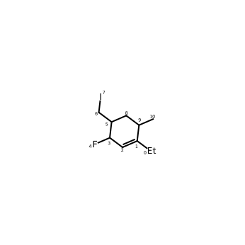 CCC1=CC(F)C(CI)CC1C